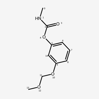 CNC(=O)Oc1cccc(OCOC)c1